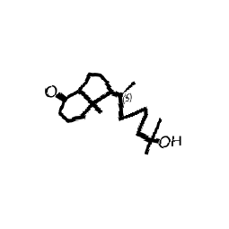 C[C@@H](CCCC(C)(C)O)C1CCC2C(=O)CCCC21C